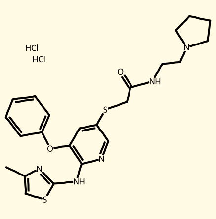 Cc1csc(Nc2ncc(SCC(=O)NCCN3CCCC3)cc2Oc2ccccc2)n1.Cl.Cl